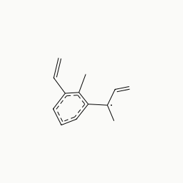 C=C[C](C)c1cccc(C=C)c1C